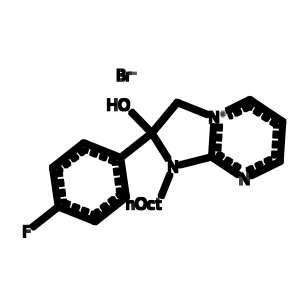 CCCCCCCCN1c2nccc[n+]2CC1(O)c1ccc(F)cc1.[Br-]